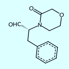 O=C[C@@H](Cc1ccccc1)N1CCOCC1=O